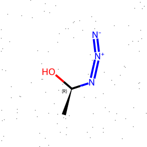 C[C@@H](O)N=[N+]=[N-]